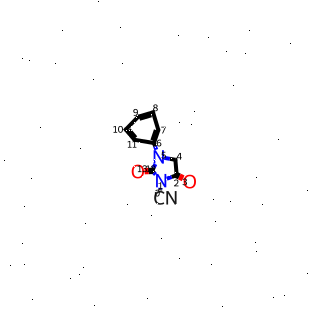 N#CN1C(=O)CN(c2ccccc2)C1=O